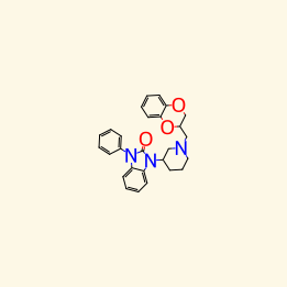 O=c1n(-c2ccccc2)c2ccccc2n1C1CCCN(CC2COc3ccccc3O2)C1